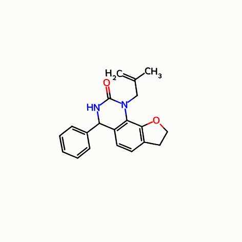 C=C(C)CN1C(=O)NC(c2ccccc2)c2ccc3c(c21)OCC3